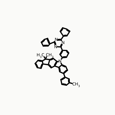 Cc1cccc(-c2ccc3c(c2)c2cc4c(cc2n3-c2cccc(-c3nc(-c5ccccc5)nc(-c5ccccc5)n3)c2)C(C)(C)c2ccccc2-4)c1